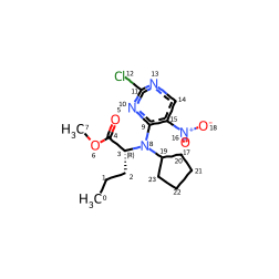 CCC[C@H](C(=O)OC)N(c1nc(Cl)ncc1[N+](=O)[O-])C1CCCC1